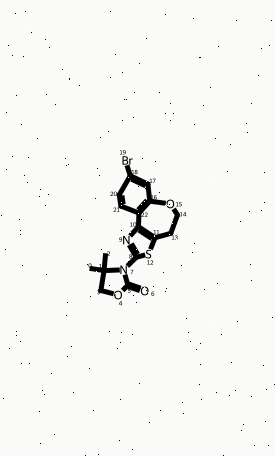 CC1(C)COC(=O)N1c1nc2c(s1)CCOc1cc(Br)ccc1-2